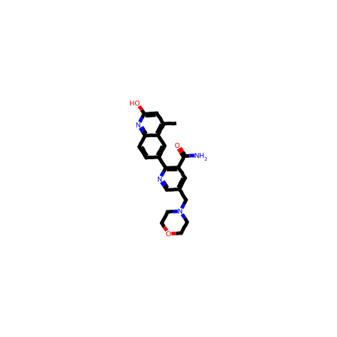 Cc1cc(O)nc2ccc(-c3ncc(CN4CCOCC4)cc3C(N)=O)cc12